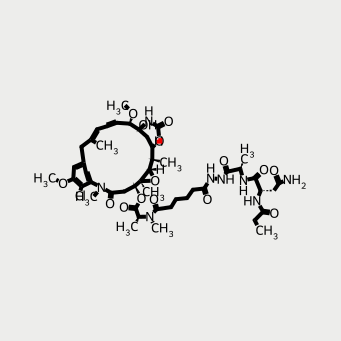 CCC(=O)N[C@@H](CC(N)=O)C(=O)N[C@@H](C)C(=O)NNC(=O)CCCCC(=O)N(C)[C@@H](C)C(=O)O[C@H]1CC(=O)N(C)c2cc(cc(OC)c2Cl)C/C(C)=C/C=C/[C@@H](OC)[C@@]2(O)C[C@H](OC(=O)N2)[C@@H](C)[C@@H]2O[C@@]12C